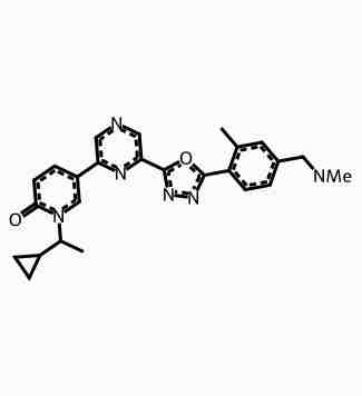 CNCc1ccc(-c2nnc(-c3cncc(-c4ccc(=O)n(C(C)C5CC5)c4)n3)o2)c(C)c1